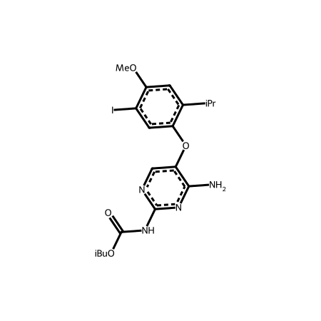 COc1cc(C(C)C)c(Oc2cnc(NC(=O)OCC(C)C)nc2N)cc1I